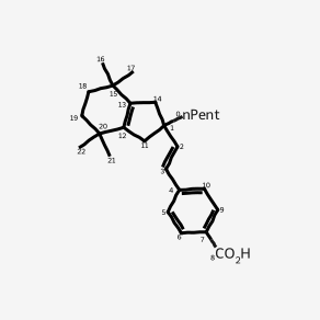 CCCCCC1(C=Cc2ccc(C(=O)O)cc2)CC2=C(C1)C(C)(C)CCC2(C)C